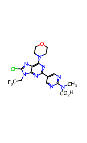 CN(C(=O)O)c1ncc(-c2nc(N3CCOCC3)c3nc(Cl)n(CC(F)(F)F)c3n2)cn1